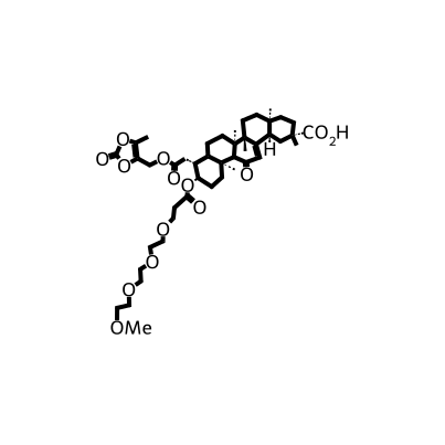 COCCOCCOCCOCCC(=O)O[C@H]1CC[C@@]2(C)C(CC[C@]3(C)C2C(=O)C=C2[C@@H]4C[C@@](C)(C(=O)O)CC[C@]4(C)CC[C@]23C)[C@H]1CC(=O)OCc1oc(=O)oc1C